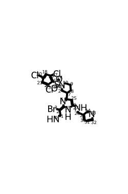 N=C/C(Br)=C1/N=C(C2CCCN(S(=O)(=O)c3c(Cl)cc(Cl)cc3Cl)C2)C=C(NCc2cccnc2)N1